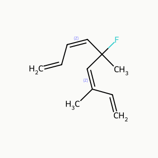 C=C/C=C\C(C)(F)/C=C(/C)C=C